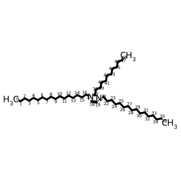 CCCCCCCCCCCCCCCCCn1cc[n+](CCCCCCCCCCCCCCCC)c1CCCCCCCCCCC